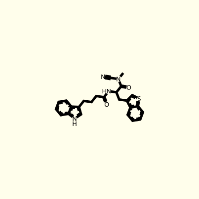 CN(C#N)C(=O)C(Cc1csc2ccccc12)NC(=O)CCCc1c[nH]c2ccccc12